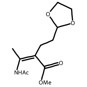 COC(=O)/C(CCC1OCCO1)=C(/C)NC(C)=O